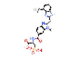 Cc1cccc2[nH]c(Cc3nc4ccc(C(=O)NC(CP(=O)(O)O)C(=O)O)cc4n3C)nc12